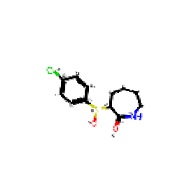 O=C1NCCCCC1[S+]([O-])c1ccc(Cl)cc1